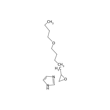 CC1CO1.CCCCOCCCC.c1c[nH]cn1